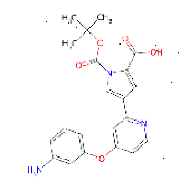 CC(C)(C)OC(=O)n1cc(-c2cc(Oc3cccc(N)c3)ccn2)cc1C(=O)O